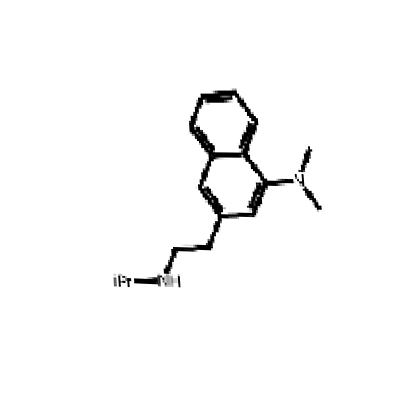 CC(C)NCCc1cc(N(C)C)c2ccccc2c1